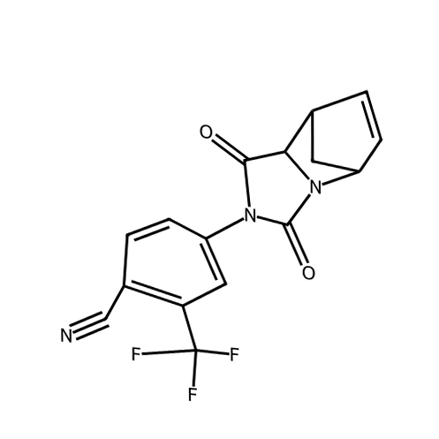 N#Cc1ccc(N2C(=O)C3C4C=CC(C4)N3C2=O)cc1C(F)(F)F